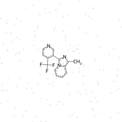 Cc1nc(-c2cnccc2C(F)(F)F)n2ccccc12